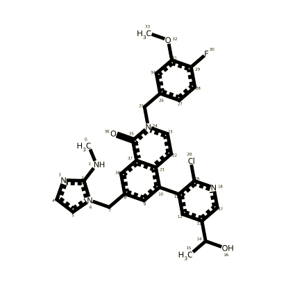 CNc1nccn1Cc1cc(-c2cc(C(C)O)cnc2Cl)c2ccn(Cc3ccc(F)c(OC)c3)c(=O)c2c1